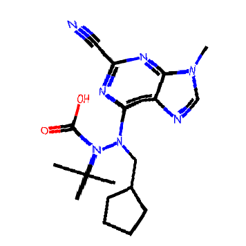 Cn1cnc2c(N(CC3CCCC3)N(C(=O)O)C(C)(C)C)nc(C#N)nc21